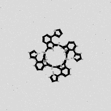 c1csc(-c2cccc3c2-c2nc-3nc3[nH]c(nc4nc(nc5[nH]c(n2)c2cccc(-c6cccs6)c52)-c2cccc(-c5cccs5)c2-4)c2cccc(-c4cccs4)c32)c1